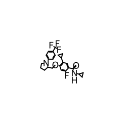 O=C(NC1CC1)c1cc(C2CC2)c(OCC2CCCN2c2ccc(C(F)(F)F)cc2)cc1F